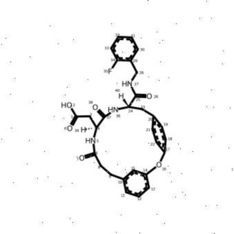 O=C(O)C[C@@H]1NC(=O)CCc2cccc(c2)Oc2ccc(cc2)C[C@@H](C(=O)NCc2ccccc2F)NC1=O